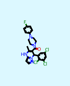 CC1=C(C(=O)N2CCN(c3ccc(F)cc3)CC2)C(c2cc(Cl)cc(Cl)c2Cl)n2nccc2N1